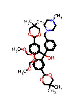 COCOc1ccc(C2OCC(C)(C)CO2)cc1C(O)(c1cccc(CN2CCN(C)CC2)c1)c1cc(C2OCC(C)(C)CO2)ccc1OCOC